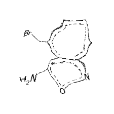 Nc1onc2cccc(Br)c12